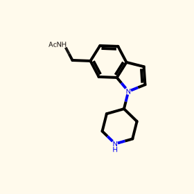 CC(=O)NCc1ccc2ccn(C3CCNCC3)c2c1